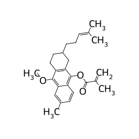 C=C(C)C(=O)Oc1c2c(c(OC)c3cc(C)ccc13)CCC(CCC=C(C)C)C2